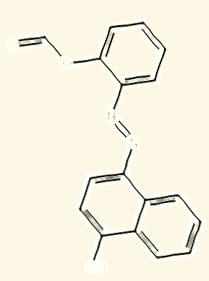 O=COc1ccccc1/N=N/c1ccc(O)c2ccccc12